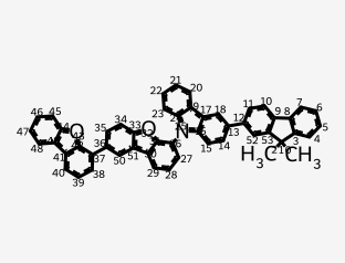 CC1(C)c2ccccc2-c2ccc(-c3ccc4c(c3)c3ccccc3n4-c3cccc4c3oc3ccc(-c5cccc6c5oc5ccccc56)cc34)cc21